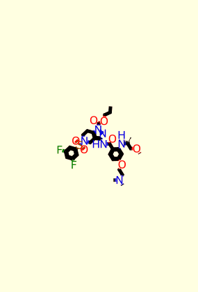 CCCOC(=O)n1nc(NC(=O)c2ccc(OCCN(C)C)cc2N[C@H](C)COC)c2c1CCN(S(=O)(=O)c1cc(F)cc(F)c1)C2